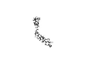 O=C1CCC(N2C(=O)c3ccc(OC4CCN(CCCCc5ccc(C(=O)O)cn5)CC4)cc3C2=O)C(=O)N1